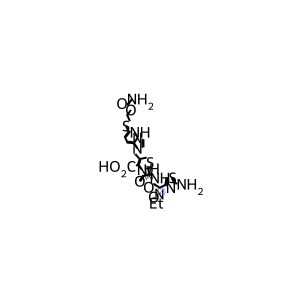 CCO/N=C(\C(=O)N[C@@H]1C(=O)N2C(C(=O)O)=C(CN3C=CN4NC(SCCOC(N)=O)=CC=C34)CS[C@@H]12)c1csc(N)n1